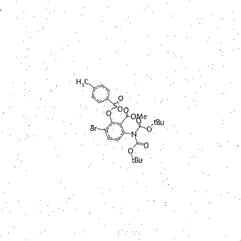 COC(=O)c1c(N(C(=O)OC(C)(C)C)C(=O)OC(C)(C)C)ccc(Br)c1OS(=O)(=O)c1ccc(C)cc1